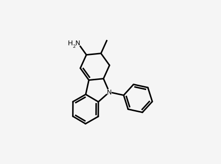 CC1CC2C(=CC1N)c1ccccc1N2c1ccccc1